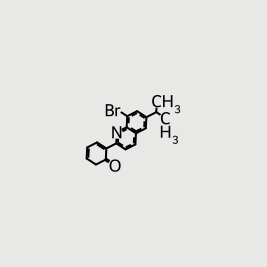 CC(C)c1cc(Br)c2nc(C3=CC=CCC3=O)ccc2c1